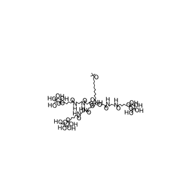 CC(C)(C)C(=O)CCCCCCCCCCC(=O)NC(COCCC(=O)NCCCNC(=O)CCCCO[C@@H]1OC(CO)[C@@H](O)C(O)C1O)(COCCC(=O)NCCCNC(=O)CCCCO[C@@H]1OC(CO)[C@@H](O)C(O)C1O)COCCC(=O)NCCCNC(=O)CCCCO[C@@H]1OC(CO)[C@@H](O)C(O)C1O